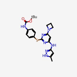 Cc1cc(Nc2cc(N3CCC3)nc(Sc3ccc(NC(=O)OC(C)(C)C)cc3)n2)n[nH]1